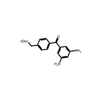 CCCCCCCCCCCc1ccc(C(=O)c2cc(N)cc(N)c2)cc1